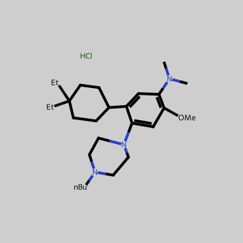 CCCCN1CCN(c2cc(OC)c(N(C)C)cc2C2CCC(CC)(CC)CC2)CC1.Cl